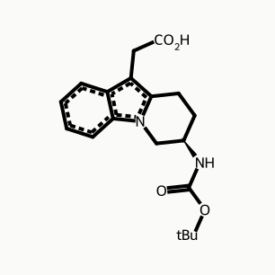 CC(C)(C)OC(=O)N[C@@H]1CCc2c(CC(=O)O)c3ccccc3n2C1